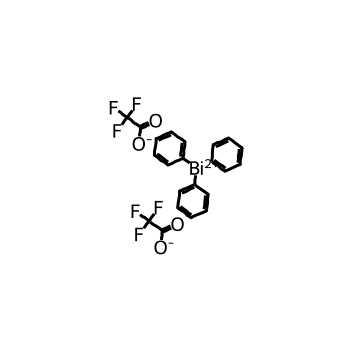 O=C([O-])C(F)(F)F.O=C([O-])C(F)(F)F.c1cc[c]([Bi+2]([c]2ccccc2)[c]2ccccc2)cc1